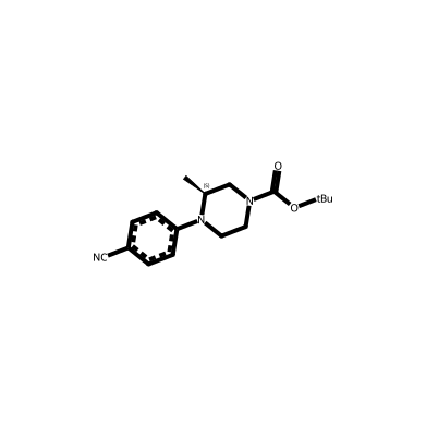 C[C@H]1CN(C(=O)OC(C)(C)C)CCN1c1ccc(C#N)cc1